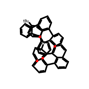 CC(C)(C)c1ccc(N(c2ccccc2-c2cccc3cccc(-c4ccccc4)c23)c2ccccc2-c2cccc3c4ccccc4n(-c4ccccc4)c23)cc1